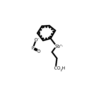 O=C(O)C[CH2][Sb+][c]1ccccc1.O=P[O-]